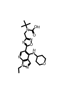 CCn1ncc2c(NC3CCOCC3)c(-c3nc(CN(C(=O)O)C(C)(C)C)no3)cnc21